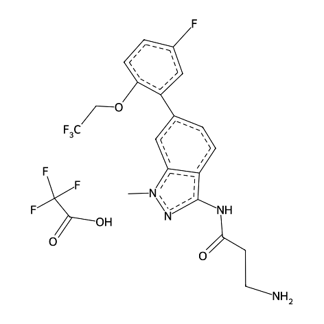 Cn1nc(NC(=O)CCN)c2ccc(-c3cc(F)ccc3OCC(F)(F)F)cc21.O=C(O)C(F)(F)F